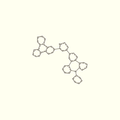 c1ccc(N2c3ccccc3-c3ccc(-c4ccnc(-c5ccc6c7ccccc7c7ccccc7c6c5)c4)cc3-c3ccccc32)cc1